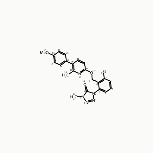 CCc1cccc(-n2nnn(C)c2=O)c1COc1ccc(-c2ccc(OC)cc2)c(C)n1